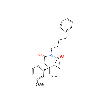 COc1cccc([C@]23CCCC[C@@H]2C(=O)N(CCCCc2ccccc2)C(=O)C3)c1